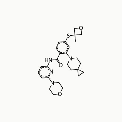 CC1(Sc2ccc(C(=O)Nc3cccc(N4CCOCC4)n3)c(N3CCC4(CC3)CC4)c2)COC1